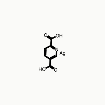 O=C(O)c1ccc(C(=O)O)nc1.[Ag]